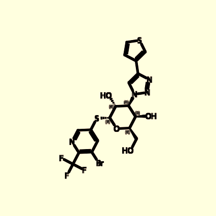 OC[C@H]1O[C@H](Sc2cnc(C(F)(F)F)c(Br)c2)[C@H](O)[C@@H](n2cc(-c3ccsc3)nn2)[C@H]1O